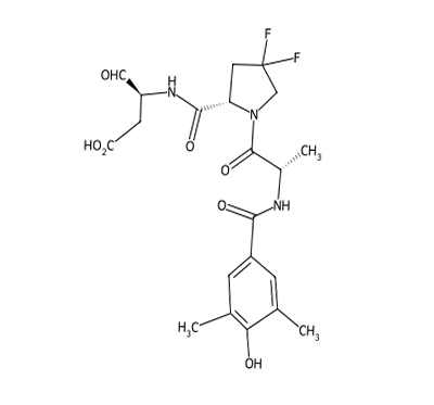 Cc1cc(C(=O)N[C@@H](C)C(=O)N2CC(F)(F)C[C@H]2C(=O)N[C@H](C=O)CC(=O)O)cc(C)c1O